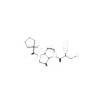 CC(=O)NC1(C(=O)N2CC(=O)C3C2CCN3C(=O)C(N)CC(C)C)CCCC1